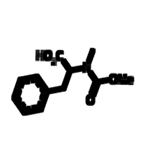 COC(=O)N(C)C(Cc1ccccc1)C(=O)O